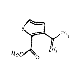 C=C(C)c1ccsc1C(=O)OC